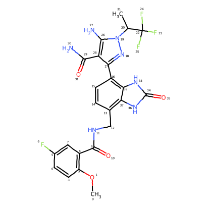 COc1ccc(F)cc1C(=O)NCc1ccc(-c2nn(C(C)C(F)(F)F)c(N)c2C(N)=O)c2[nH]c(=O)[nH]c12